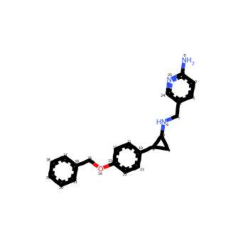 Nc1ccc(CNC2CC2c2ccc(OCc3ccccc3)cc2)cn1